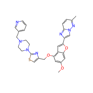 COc1cc(OCc2csc(N3CCN(Cc4cccnc4)CC3)n2)c2cc(-c3cn4nc(C)ccc4n3)oc2c1